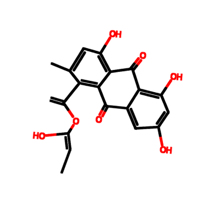 C=C(OC(O)=CC)c1c(C)cc(O)c2c1C(=O)c1cc(O)cc(O)c1C2=O